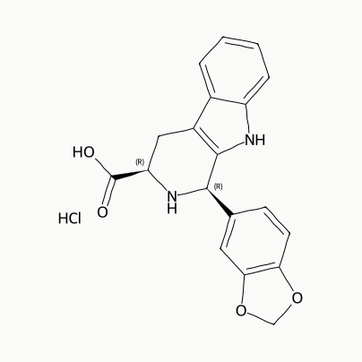 Cl.O=C(O)[C@H]1Cc2c([nH]c3ccccc23)[C@@H](c2ccc3c(c2)OCO3)N1